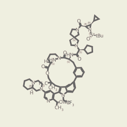 CO[C@@H](C)c1ncc(N2CCN3CCCC[C@@H]3C2)cc1-c1c2c3cc(ccc3n1CC(F)(F)F)-c1cccc(c1)C[C@H](NC(=O)[C@H](C1CCCC1)N1CC[C@]3(CCN(C(=O)[C@H]4[C@@H](C5CC5)N4[S@+]([O-])C(C)(C)C)C3)C1)C(=O)N1CCC[C@H](N1)C(=O)OCC(C)(C)C2